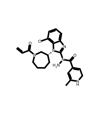 C=CC(=O)N1CCCC[C@@H](n2c(N(N)C(=O)C3=CCNC(C)=C3)nc3cccc(Cl)c32)C1